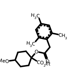 CCOC(=O)C1(OC(=O)Cc2c(C)cc(C)cc2C)CCC(OC)CC1